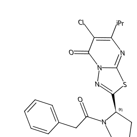 CC(C)c1nc2sc([C@H]3CCCN3C(=O)Cc3ccccc3)nn2c(=O)c1Cl